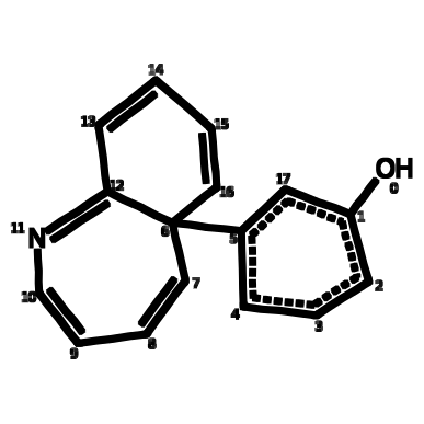 Oc1cccc(C23C=CC=CN=C2C=CC=C3)c1